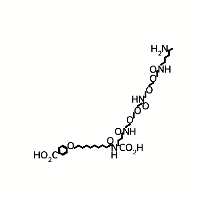 CC(N)CCCCNC(=O)COCCOCCNC(=O)COCCOCCNC(=O)CCC(NC(=O)CCCCCCCCCOc1ccc(C(=O)O)cc1)C(=O)O